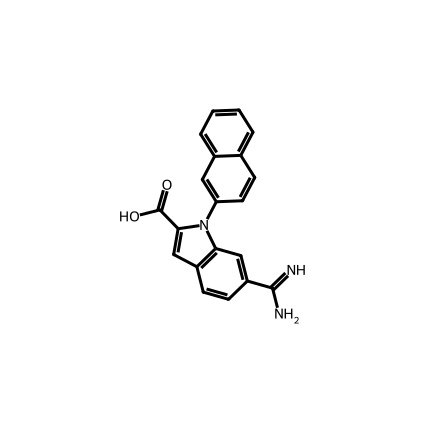 N=C(N)c1ccc2cc(C(=O)O)n(-c3ccc4ccccc4c3)c2c1